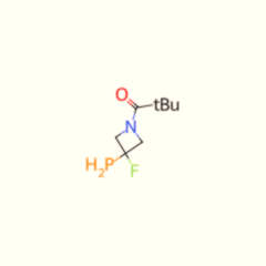 CC(C)(C)C(=O)N1CC(F)(P)C1